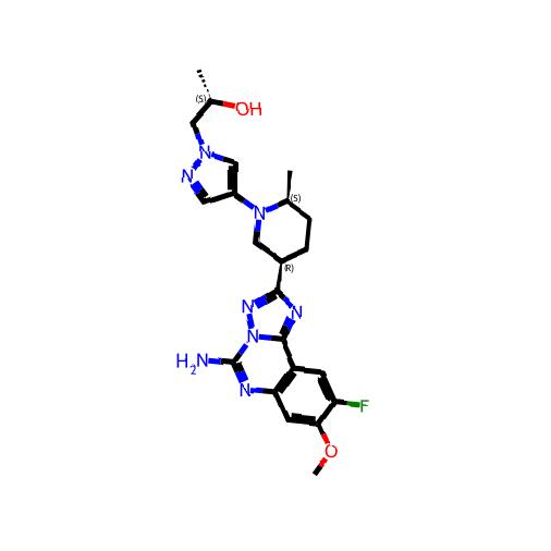 COc1cc2nc(N)n3nc([C@@H]4CC[C@H](C)N(c5cnn(C[C@H](C)O)c5)C4)nc3c2cc1F